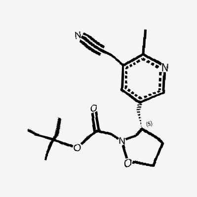 Cc1ncc([C@@H]2CCON2C(=O)OC(C)(C)C)cc1C#N